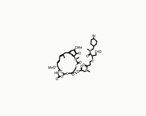 COc1cc2cc(c1Cl)N(C)C(=O)C[C@H](OC(=O)CN(C)C(=O)CCSC(CC=O)C(=O)N(C)CC1CCC(C(C)=O)CC1)[C@]1(C)OC1CC1CC(NC(=O)O1)[C@H](OC)/C=C/C=C(\C)C2